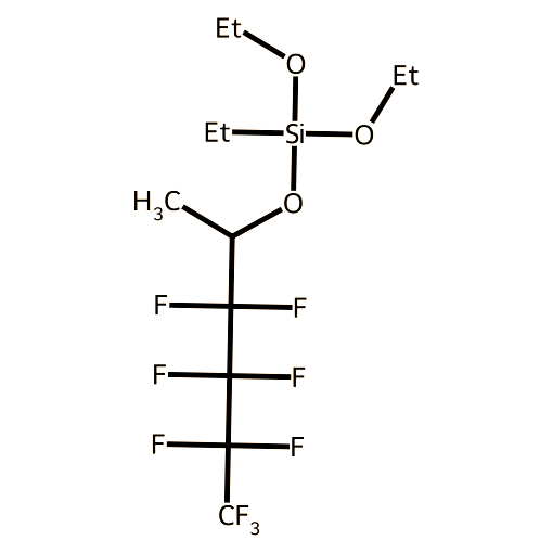 CCO[Si](CC)(OCC)OC(C)C(F)(F)C(F)(F)C(F)(F)C(F)(F)F